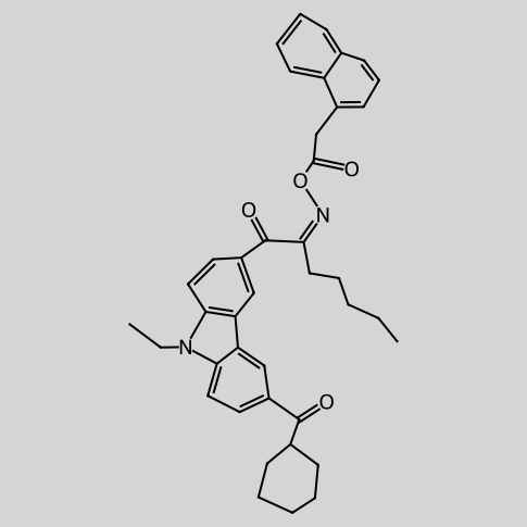 CCCCC/C(=N/OC(=O)Cc1cccc2ccccc12)C(=O)c1ccc2c(c1)c1cc(C(=O)C3CCCCC3)ccc1n2CC